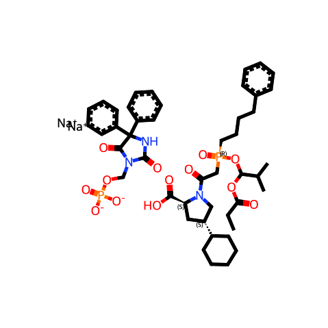 CCC(=O)OC(O[P@](=O)(CCCCc1ccccc1)CC(=O)N1C[C@H](C2CCCCC2)C[C@H]1C(=O)O)C(C)C.O=C1NC(c2ccccc2)(c2ccccc2)C(=O)N1COP(=O)([O-])[O-].[Na+].[Na+]